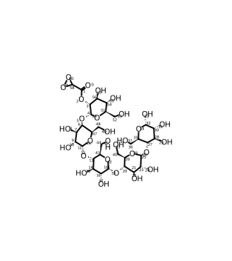 O=C(O[C@H]1[C@@H](O[C@H]2[C@H](O)[C@@H](O)[C@@H](O[C@H]3[C@H](O)[C@@H](O)[C@@H](O[C@H]4[C@H](O)[C@@H](O)[C@@H](O[C@H]5[C@H](O)[C@@H](O)[C@@H](O)O[C@@H]5CO)O[C@@H]4CO)O[C@@H]3CO)O[C@@H]2CO)O[C@H](CO)[C@@H](O)[C@@H]1O)C1OO1